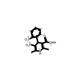 COC(=O)C1=C(C)NC(C)=C([N+](=O)[O-])C1c1ccccc1[N+](=O)[O-]